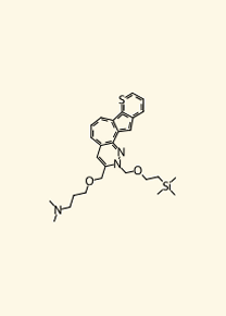 CN(C)CCCOCC1=Cc2cccc3c(cc4cccsc43)c2=NN1COCC[Si](C)(C)C